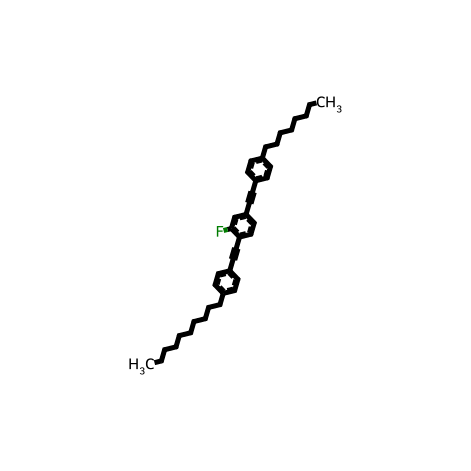 CCCCCCCCCCc1ccc(C#Cc2ccc(C#Cc3ccc(CCCCCCCC)cc3)cc2F)cc1